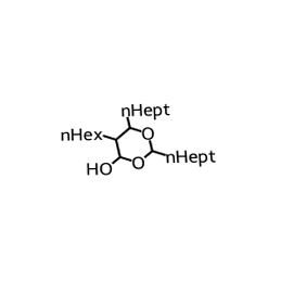 CCCCCCCC1OC(O)C(CCCCCC)C(CCCCCCC)O1